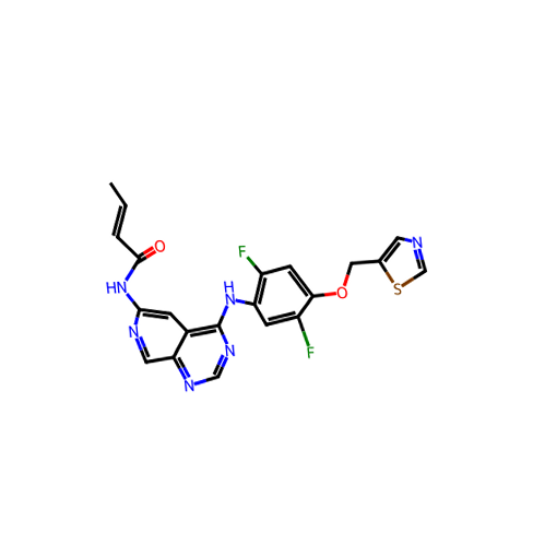 CC=CC(=O)Nc1cc2c(Nc3cc(F)c(OCc4cncs4)cc3F)ncnc2cn1